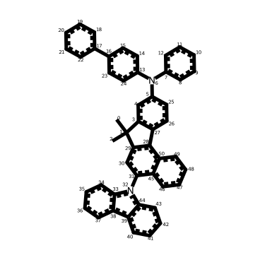 CC1(C)c2cc(N(c3ccccc3)c3ccc(-c4ccccc4)cc3)ccc2-c2c1cc(-n1c3ccccc3c3ccccc31)c1ccccc21